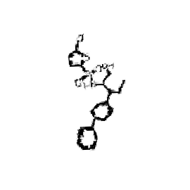 CCC(c1ccc(-c2ccccc2)cc1)C(CO)NS(=O)(=O)c1ccc(Cl)s1